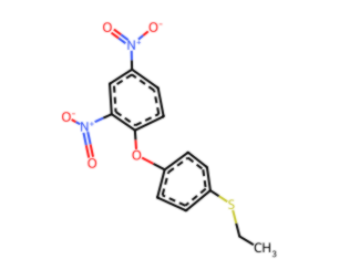 CCSc1ccc(Oc2ccc([N+](=O)[O-])cc2[N+](=O)[O-])cc1